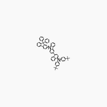 CC(C)(C)c1ccc(N(c2ccc(C(C)(C)C)cc2)c2ccc(-c3ccc4c(c3)c3ccccc3n4-c3ccc4c(c3)C(c3ccccc3)(c3ccccc3)c3ccccc3-4)c3ccccc23)cc1